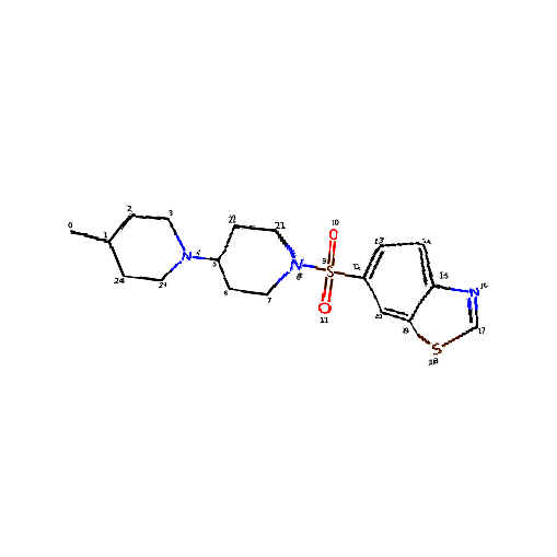 CC1CCN(C2CCN(S(=O)(=O)c3ccc4ncsc4c3)CC2)CC1